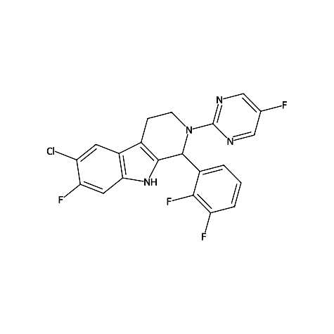 Fc1cnc(N2CCc3c([nH]c4cc(F)c(Cl)cc34)C2c2cccc(F)c2F)nc1